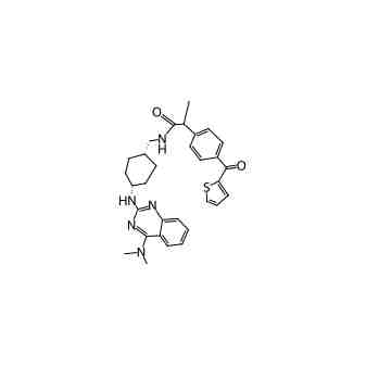 CC(C(=O)NC[C@H]1CC[C@@H](Nc2nc(N(C)C)c3ccccc3n2)CC1)c1ccc(C(=O)c2cccs2)cc1